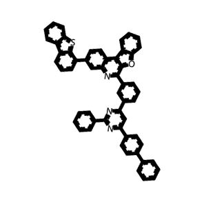 c1ccc(-c2ccc(-c3cc(-c4cccc(-c5nc6cc(-c7cccc8c7sc7ccccc78)ccc6c6c5oc5ccccc56)c4)nc(-c4ccccc4)n3)cc2)cc1